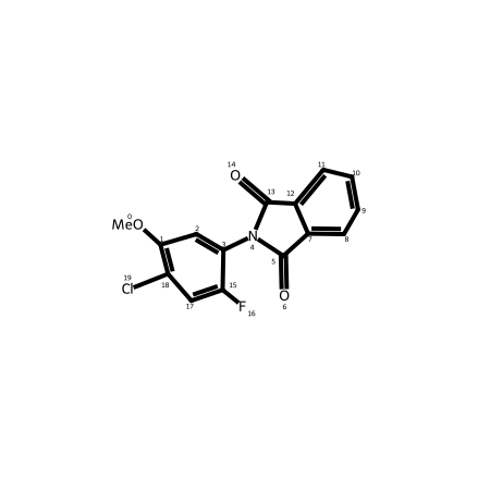 COc1cc(N2C(=O)c3ccccc3C2=O)c(F)cc1Cl